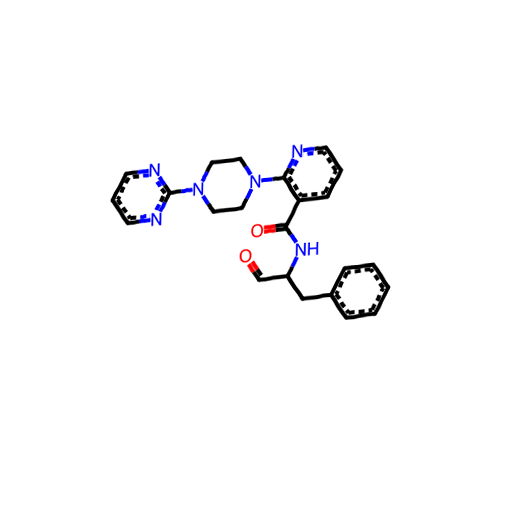 O=CC(Cc1ccccc1)NC(=O)c1cccnc1N1CCN(c2ncccn2)CC1